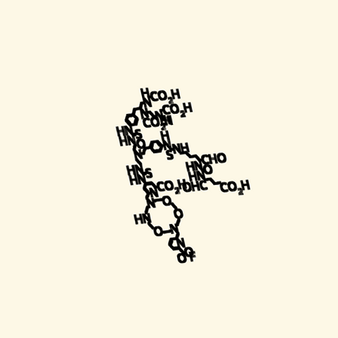 CCN(CCN(CC(=O)O)C(CNCC(=O)O)Cc1ccc(NC(=S)NCCN(CCNC(=S)Nc2cc(CN3CCNCCOCCN(Cc4cccc(C(=O)OF)n4)CCOCCOCC3)nc(C(=O)O)c2)CC(=O)c2ccc(NC(=S)NCCCCC(C=O)NC(=O)NC(C=O)CCCC(=O)O)cc2)cc1)CC(=O)O